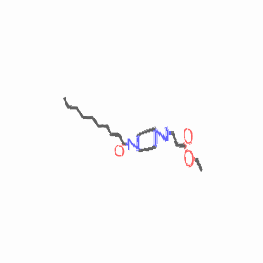 CCCCCCCC=CC(=O)N1CCN(CCC(=O)OCC)CC1